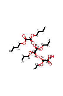 CCCCOC(=O)C(=O)OCCCC.CCCOC(=O)C(=O)OCCC.CCOC(=O)C(=O)O